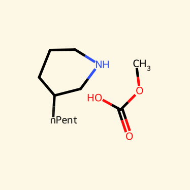 CCCCCC1CCCNC1.COC(=O)O